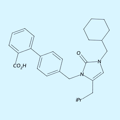 CC(C)Cc1cn(CC2CCCCC2)c(=O)n1Cc1ccc(-c2ccccc2C(=O)O)cc1